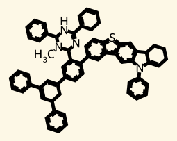 CN1C(c2cc(C3=CC(c4ccccc4)=CC(c4ccccc4)C3)ccc2-c2ccc3sc4cc5c(cc4c3c2)N(c2ccccc2)C2=CCCCC25)N=C(C2=CC=CCC2)NC1c1ccccc1